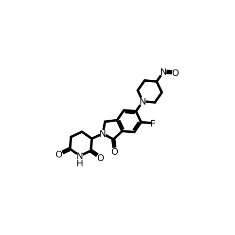 O=NC1CCN(c2cc3c(cc2F)C(=O)N(C2CCC(=O)NC2=O)C3)CC1